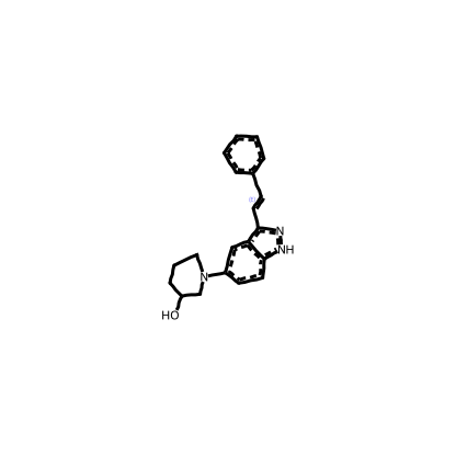 OC1CCCN(c2ccc3[nH]nc(/C=C/c4ccccc4)c3c2)C1